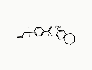 C=NCC(C)(C)c1ccc(C(=O)Nc2cc3c(cc2OC)CCCCC3)cc1